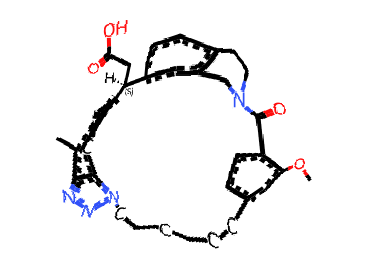 COc1cc2ccc1C(=O)N1CCc3ccc(cc3C1)[C@H](CC(=O)O)c1ccc3c(nnn3CCCCCC2)c1C